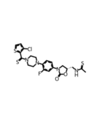 CC(=S)NC[C@H]1CN(c2ccc(N3CCN(C(=S)c4sccc4Cl)CC3)c(F)c2)C(=O)O1